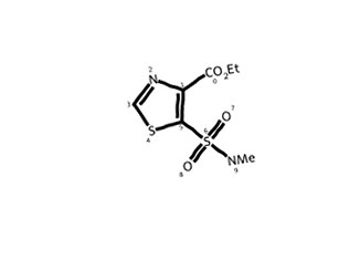 CCOC(=O)c1ncsc1S(=O)(=O)NC